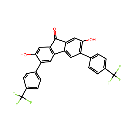 O=C1c2cc(O)c(-c3ccc(C(F)(F)F)cc3)cc2-c2cc(-c3ccc(C(F)(F)F)cc3)c(O)cc21